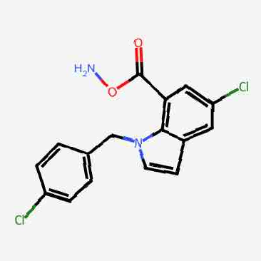 NOC(=O)c1cc(Cl)cc2ccn(Cc3ccc(Cl)cc3)c12